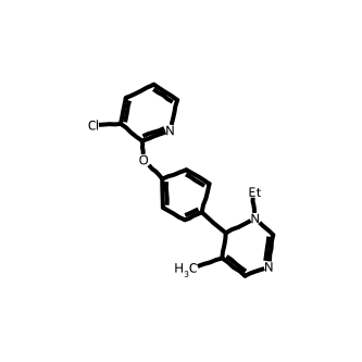 CCN1C=NC=C(C)C1c1ccc(Oc2ncccc2Cl)cc1